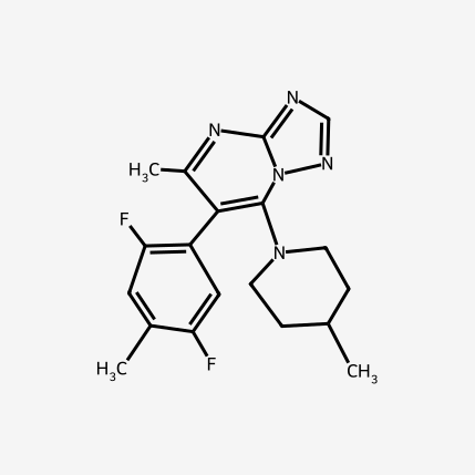 Cc1cc(F)c(-c2c(C)nc3ncnn3c2N2CCC(C)CC2)cc1F